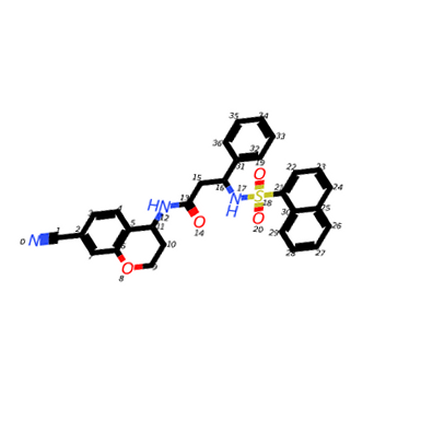 N#Cc1ccc2c(c1)OCCC2NC(=O)CC(NS(=O)(=O)c1cccc2ccccc12)c1ccccc1